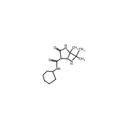 CC1(C)NN2N(C(=O)NC3CCCCC3)C(=O)NC21C